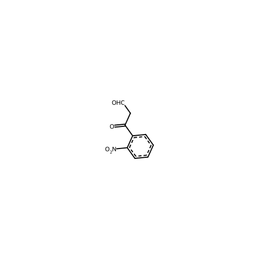 O=CCC(=O)c1ccccc1[N+](=O)[O-]